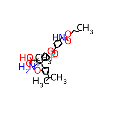 CCCCOC(=O)Nc1ccc(C(=O)Oc2ccc(/C(=C(/C(N)=O)[C@@H](C)C(=O)O)c3ccc(C(C)C)cc3)cc2F)cc1